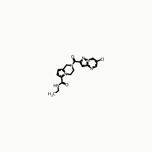 CCNC(=O)c1ccc2n1CCN(C(=O)c1cc3ncc(Cl)cn3n1)C2